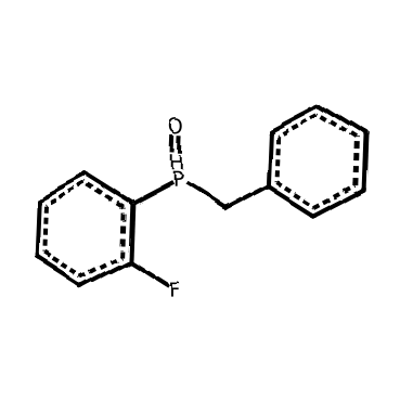 O=[PH](Cc1ccccc1)c1ccccc1F